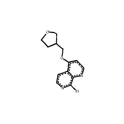 CCc1nccc2c(OCC3CCOC3)ccnc12